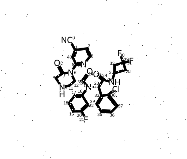 N#Cc1ccnc(N2C(=O)CNC[C@H]2C(=O)N(c2cccc(F)c2)[C@H](C(=O)NC2CC(F)(F)C2)c2ccccc2Cl)c1